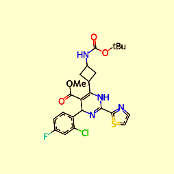 COC(=O)C1=C(C2CC(NC(=O)OC(C)(C)C)C2)NC(c2nccs2)=NC1c1ccc(F)cc1Cl